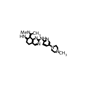 CN/C(C)=C1\C(=N)CCc2cnc(Nc3ccc(N4CCN(C)CC4)cn3)nc21